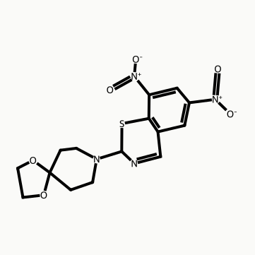 O=[N+]([O-])c1cc2c(c([N+](=O)[O-])c1)SC(N1CCC3(CC1)OCCO3)N=C2